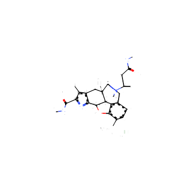 CCNC(=O)CC(C)N1CC[C@]23c4c5ccc(OC)c4O[C@H]2c2[nH]c(C(=O)NCC)c(C)c2C[C@@H]3[C@@H]1C5.Cl